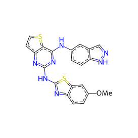 COc1ccc2nc(Nc3nc(Nc4ccc5[nH]ncc5c4)c4sccc4n3)sc2c1